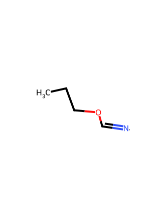 CCCOC=[N]